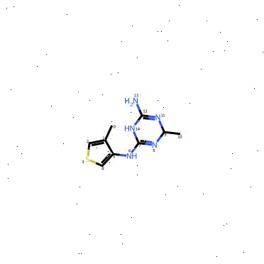 Cc1cscc1NC1=NC(C)N=C(N)N1